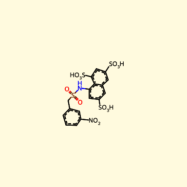 O=[N+]([O-])c1cccc(CS(=O)(=O)Nc2cc(S(=O)(=O)O)cc3cc(S(=O)(=O)O)cc(S(=O)(=O)O)c23)c1